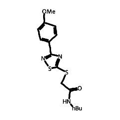 CCCCNC(=O)CSc1nc(-c2ccc(OC)cc2)ns1